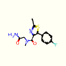 Cc1nc(C(=O)N(C)CC(N)=O)c(-c2ccc(F)cc2)s1